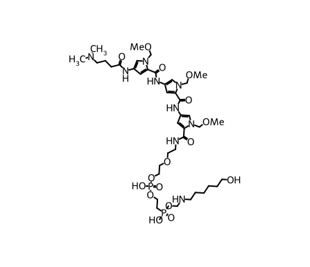 COCn1cc(NC(=O)c2cc(NC(=O)c3cc(NC(=O)CCCN(C)C)cn3COC)cn2COC)cc1C(=O)NCCOCCOP(=O)(O)OCCP(=O)(O)OCNCCCCCCO